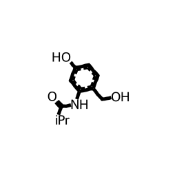 CC(C)C(=O)Nc1cc(O)ccc1CO